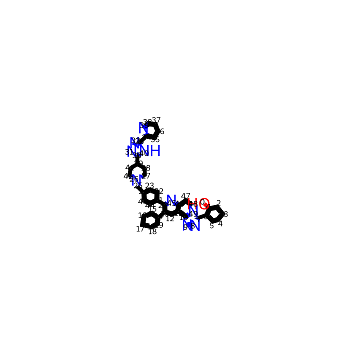 Oc1ccccc1-c1nnc2c3cc(-c4ccccc4)c(-c4ccc(CN5CCC(c6nnc(-c7ccccn7)[nH]6)CC5)cc4)nc3ccn12